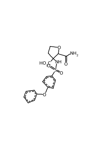 NC(=O)C1OCCC1(NS(=O)(=O)c1ccc(Oc2ccccc2)cc1)C(=O)O